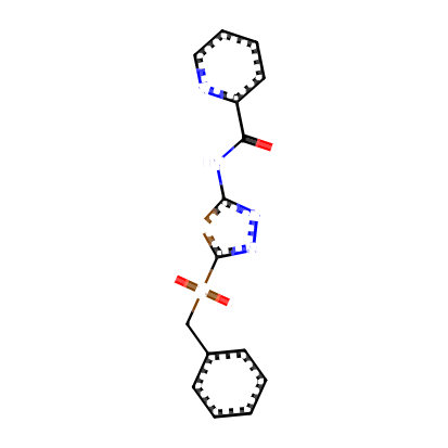 O=C(Nc1nnc(S(=O)(=O)Cc2ccccc2)s1)c1ccccn1